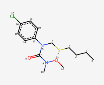 CCCCSCN(C(=O)N(C)OC)c1ccc(Cl)cc1